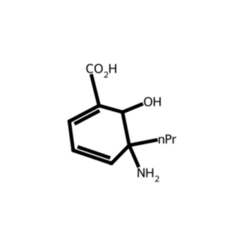 CCCC1(N)C=CC=C(C(=O)O)C1O